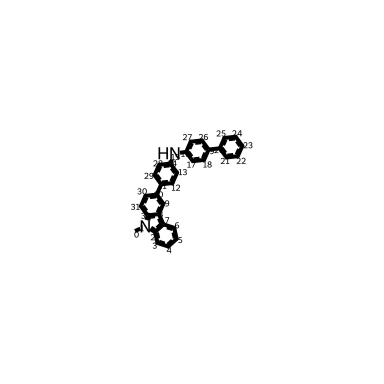 Cn1c2ccccc2c2cc(-c3ccc(Nc4ccc(-c5ccccc5)cc4)cc3)ccc21